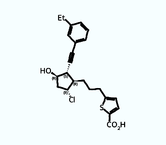 CCc1cccc(C#C[C@@H]2[C@@H](CCCc3ccc(C(=O)O)s3)[C@H](Cl)C[C@H]2O)c1